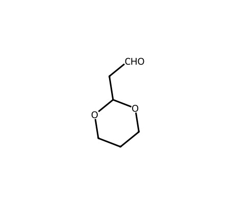 O=CCC1OCCCO1